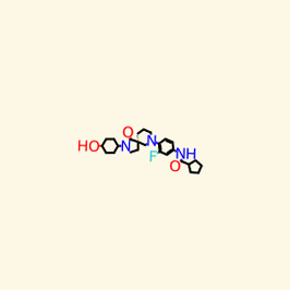 O=C(Nc1ccc(N2CCC[C@@]3(CCN(C4CCC(O)CC4)C3=O)C2)c(F)c1)C1CCCC1